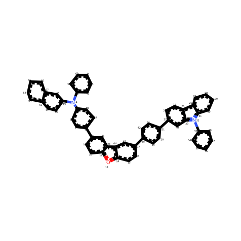 c1ccc(N(c2ccc(-c3ccc4oc5ccc(-c6ccc(-c7ccc8c9ccccc9n(-c9ccccc9)c8c7)cc6)cc5c4c3)cc2)c2ccc3ccccc3c2)cc1